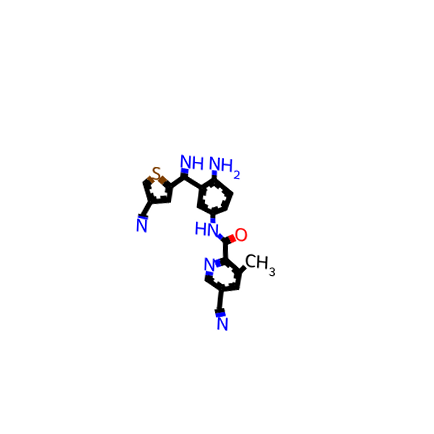 Cc1cc(C#N)cnc1C(=O)Nc1ccc(N)c(C(=N)c2cc(C#N)cs2)c1